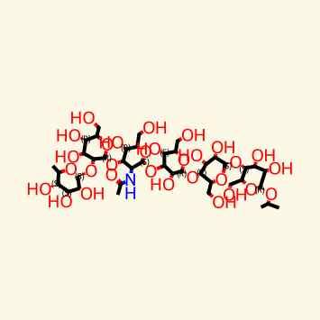 CC(=O)NC1C(O[C@@H]2OC(CO)[C@H](O)C(O)C2O[C@@H]2OC(C)[C@@H](O)[C@H](O)C2O)[C@@H](O)C(CO)O[C@H]1OC1C(O)[C@@H](O[C@H]2C(CO)O[C@@H](O[C@@H]3C(CO)O[C@@H](OC(C)C)C(O)C3O)C(O)C2O)OC(CO)[C@@H]1O